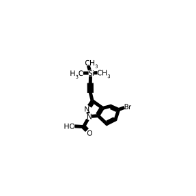 C[Si](C)(C)C#Cc1nn(C(=O)O)c2ccc(Br)cc12